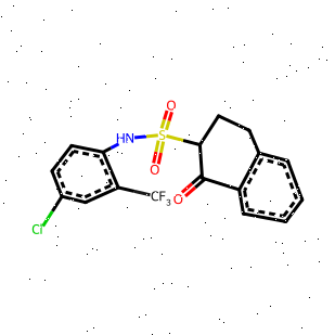 O=C1c2ccccc2CCC1S(=O)(=O)Nc1ccc(Cl)cc1C(F)(F)F